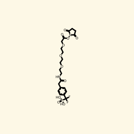 O=C(Cc1ccc(C(F)(F)P(=O)(O)O)cc1)NCCOCCOCCOCC(=O)ON1C(=O)CCC1=O